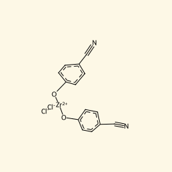 N#Cc1ccc([O][Zr+2][O]c2ccc(C#N)cc2)cc1.[Cl-].[Cl-]